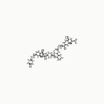 O=C(NCCN1CCC(C(=O)N2CCC(O)(Cn3cnc4cc(OCCN5CCNCC5)ccc4c3=O)CC2)C(c2ccccc2)C1)c1ccc2c(Cl)cc(C3CC3)nc2c1